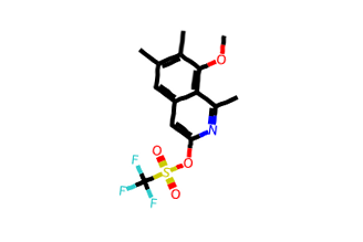 COc1c(C)c(C)cc2cc(OS(=O)(=O)C(F)(F)F)nc(C)c12